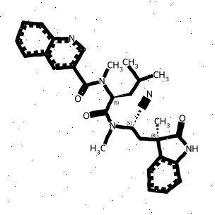 CC(C)C[C@@H](C(=O)N(C)[C@H](C#N)C[C@@]1(C)C(=O)Nc2ccccc21)N(C)C(=O)c1cnc2ccccc2c1